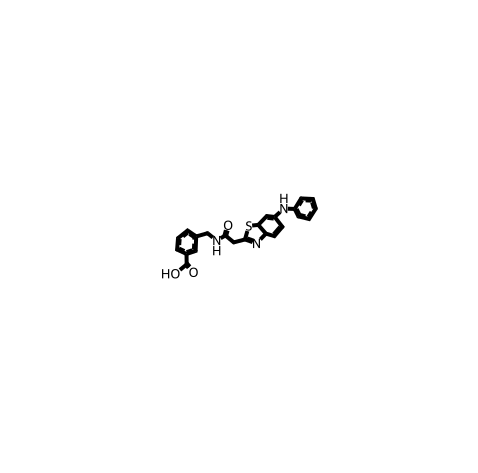 O=C(CC1=NC2C=CC(Nc3ccccc3)=CC2S1)NCc1cccc(C(=O)O)c1